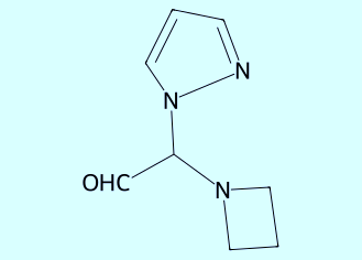 O=CC(N1CCC1)n1cccn1